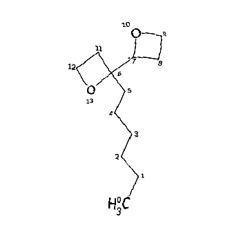 CCCCCCC1([C]2CCO2)CCO1